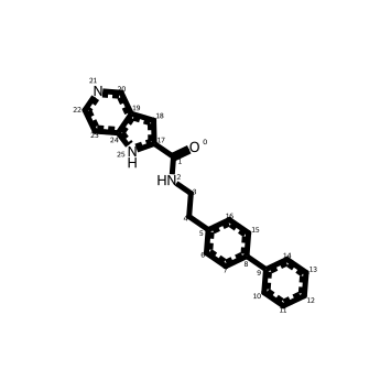 O=C(NCCc1ccc(-c2ccccc2)cc1)c1cc2cnccc2[nH]1